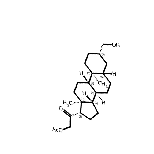 CC(=O)OCC(=O)[C@H]1CC[C@H]2[C@@H]3CC[C@H]4C[C@@H](CO)CC[C@]4(C)[C@H]3CC[C@]12C